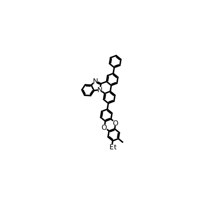 CCc1cc2c(cc1C)Oc1cc(-c3ccc4c5ccc(-c6ccccc6)cc5c5nc6ccccc6n5c4c3)ccc1O2